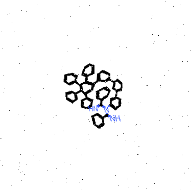 N=C(c1ccccc1)N(C(=N)c1ccccc1)c1cccc(-c2cccc(-c3cccc(-c4cc(-c5ccccc5)c(-c5ccccc5)c(-c5ccccc5)c4-c4ccccc4)c3)c2)c1